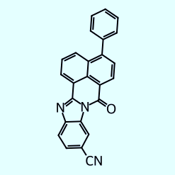 N#Cc1ccc2nc3c4cccc5c(-c6ccccc6)ccc(c(=O)n3c2c1)c54